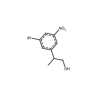 [CH2]C(CO)c1cc(C(C)C)cc([N+](=O)[O-])c1